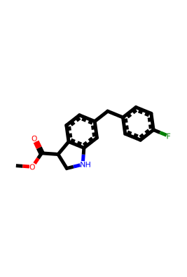 COC(=O)C1CNc2cc(Cc3ccc(F)cc3)ccc21